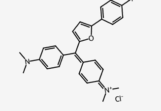 CN(C)c1ccc(C(=C2C=CC(=[N+](C)C)C=C2)c2ccc(-c3ccc(I)cc3)o2)cc1.[Cl-]